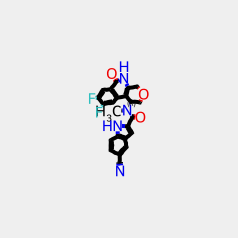 CN(C(=O)c1cc2cc(C#N)ccc2[nH]1)[C@H]1COCc2[nH]c(=O)c3cc(F)c(F)cc3c21